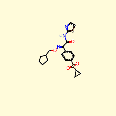 O=C(Nc1nccs1)/C(=N/OCC1CCCC1)c1ccc(S(=O)(=O)C2CC2)cc1